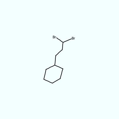 BrC(Br)CCC1CCCCC1